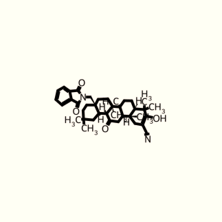 CC1(C)CC[C@]2(CN3C(=O)c4ccccc4C3=O)CC[C@]3(C)[C@H](C(=O)C[C@@H]4[C@@]5(C)CC(C#N)=C(O)C(C)(C)[C@@H]5CC[C@]43C)[C@@H]2C1